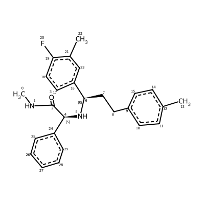 CNC(=O)[C@@H](N[C@H](CCc1ccc(C)cc1)c1ccc(F)c(C)c1)c1ccccc1